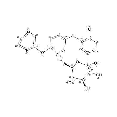 OC[C@H]1O[C@@](O)(c2ccc(Cl)c(Cc3ccc(Oc4cnccn4)cc3)c2)[C@H](O)[C@@H](O)[C@@H]1O